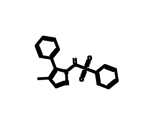 Cc1cnn(NS(=O)(=O)c2ccccc2)c1-c1ccccc1